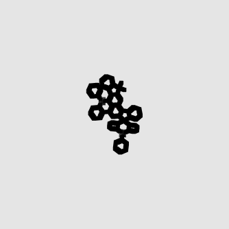 CC1(C)c2ccccc2-c2c(N(c3ccccc3)c3ccccc3-c3ccc4c(c3)C3(c5ccccc5-4)c4ccccc4N(c4ccccc4)c4ccccc43)cccc21